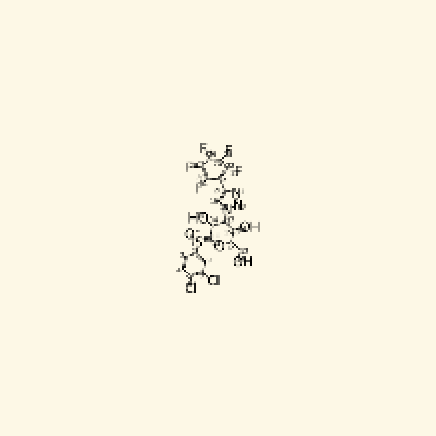 [O-][S+](c1ccc(Cl)c(Cl)c1)[C@H]1OC(CO)[C@H](O)[C@H](n2cc(-c3c(F)c(F)c(F)c(F)c3F)nn2)C1O